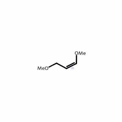 CO/C=C\COC